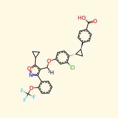 [2H]C(Oc1ccc([C@H]2C[C@@H]2c2ccc(C(=O)O)cc2)c(Cl)c1)c1c(-c2ccccc2OC(F)(F)F)noc1C1CC1